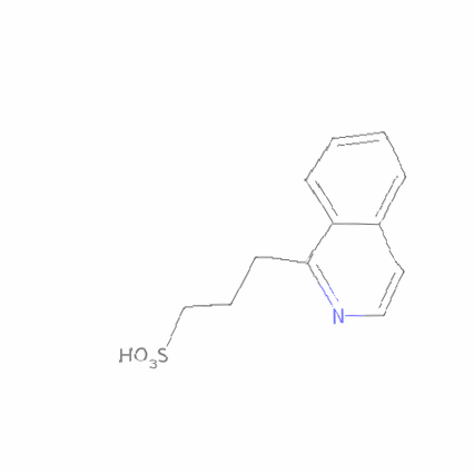 O=S(=O)(O)CCCc1nccc2ccccc12